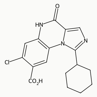 O=C(O)c1cc2c(cc1Cl)[nH]c(=O)c1cnc(C3CCCCC3)n12